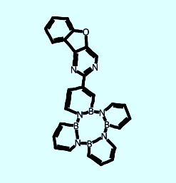 C1=CB2N(C=C1)B1C=CC=CN1B1C=C(c3ncc4oc5ccccc5c4n3)C=CN1B1C=CC=CN21